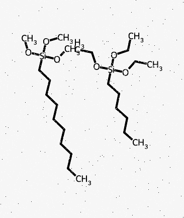 CCCCCCCCCC[Si](OC)(OC)OC.CCCCCC[Si](OCC)(OCC)OCC